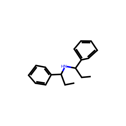 CCC(NC(CC)c1ccccc1)c1ccccc1